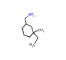 CCC1(C)CCCC(CN)C1